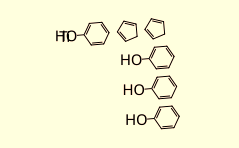 C1=CCC=C1.C1=CCC=C1.Oc1ccccc1.Oc1ccccc1.Oc1ccccc1.Oc1ccccc1.[Ti]